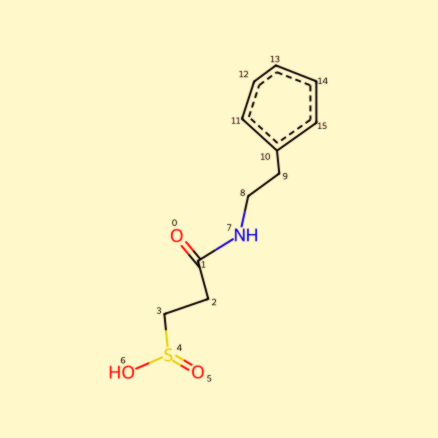 O=C(CCS(=O)O)NCCc1ccccc1